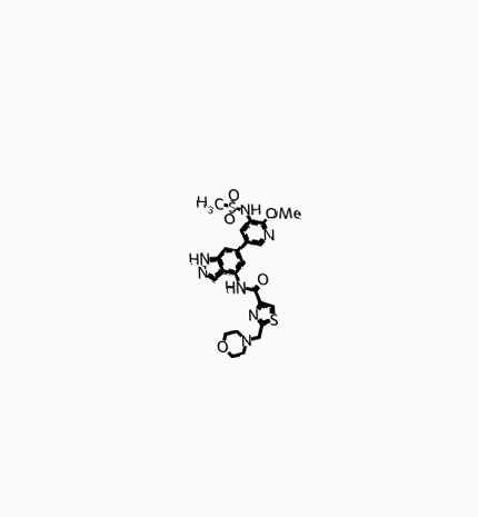 COc1ncc(-c2cc(NC(=O)c3csc(CN4CCOCC4)n3)c3cn[nH]c3c2)cc1NS(C)(=O)=O